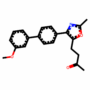 COc1cccc(-c2ccc(-c3nc(C)oc3CCC(C)=O)cc2)c1